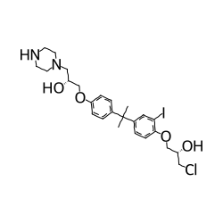 CC(C)(c1ccc(OC[C@H](O)CN2CCNCC2)cc1)c1ccc(OC[C@H](O)CCl)c(I)c1